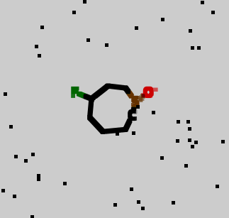 [O-][S+]1CCCCC(F)CC1